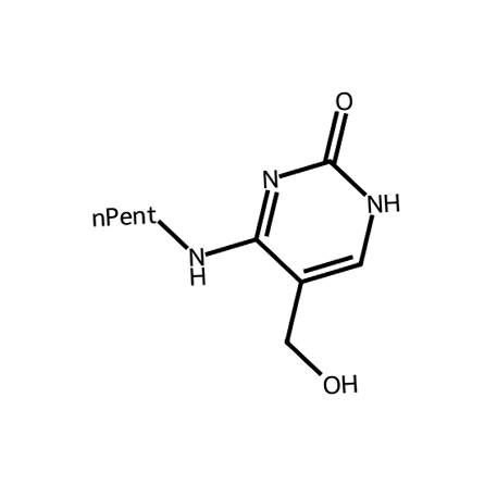 CCCCCNc1nc(=O)[nH]cc1CO